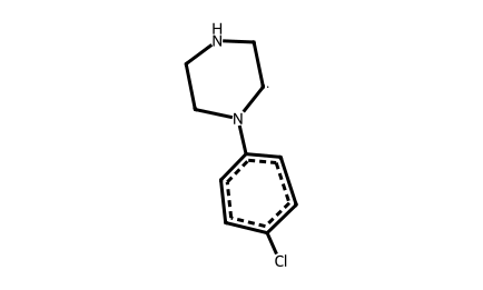 Clc1ccc(N2[CH]CNCC2)cc1